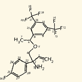 C=CC(N)(COC(C)c1cc(C(F)(F)F)cc(C(F)(F)F)c1)c1ccc(F)cc1